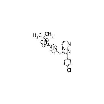 CC(C)(C)OC(=O)N1CC2CCC1CN2Cc1c(-c2ccc(Cl)cc2)nc2ncccn12